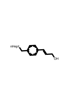 CCCCCCCCc1ccc(/C=C/CO)cc1